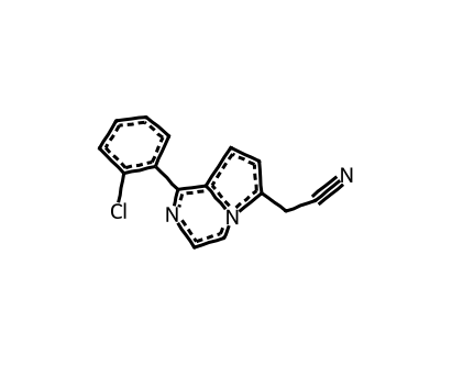 N#CCc1ccc2c(-c3ccccc3Cl)nccn12